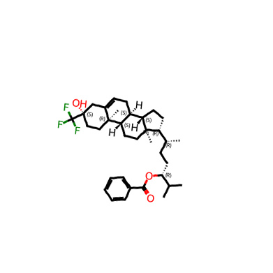 CC(C)[C@@H](CC[C@@H](C)[C@H]1CC[C@H]2[C@@H]3CC=C4C[C@](O)(C(F)(F)F)CC[C@]4(C)[C@H]3CC[C@]12C)OC(=O)c1ccccc1